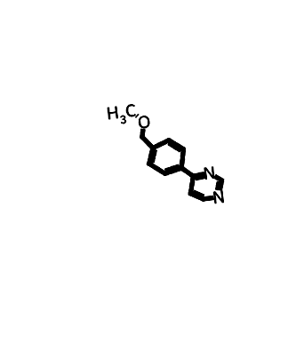 COCc1ccc(-c2ccncn2)cc1